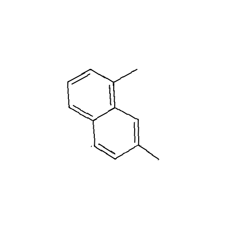 Cc1c[c]c2cccc(C)c2c1